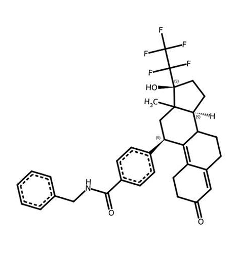 CC12C[C@H](c3ccc(C(=O)NCc4ccccc4)cc3)C3=C4CCC(=O)C=C4CCC3[C@@H]1CC[C@@]2(O)C(F)(F)C(F)(F)F